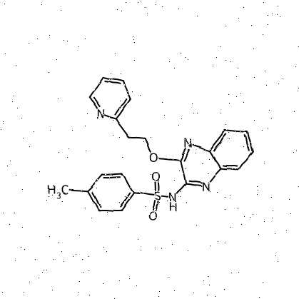 Cc1ccc(S(=O)(=O)Nc2nc3ccccc3nc2OCCc2ccccn2)cc1